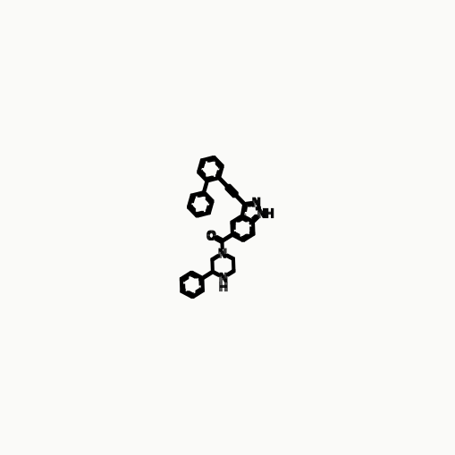 O=C(c1ccc2[nH]nc(C#Cc3ccccc3-c3ccccc3)c2c1)N1CCNC(c2ccccc2)C1